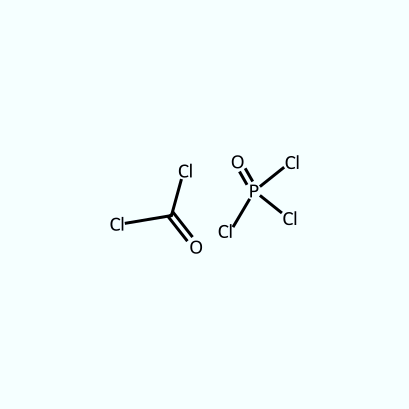 O=C(Cl)Cl.O=P(Cl)(Cl)Cl